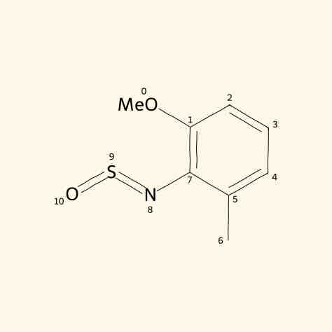 COc1cccc(C)c1N=S=O